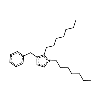 CCCCCCCc1n(Cc2ccccc2)cc[n+]1CCCCCCC